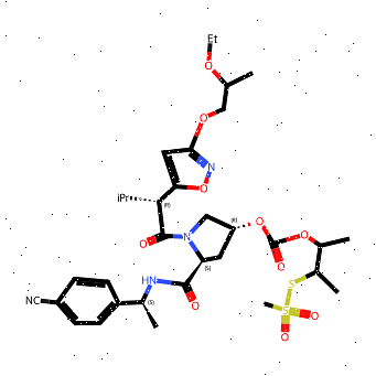 CCOC(C)COc1cc([C@H](C(=O)N2C[C@H](OC(=O)OC(C)C(C)SS(C)(=O)=O)C[C@H]2C(=O)N[C@@H](C)c2ccc(C#N)cc2)C(C)C)on1